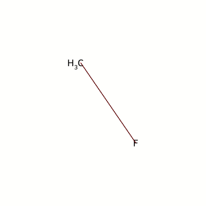 CC#CC#CC#CC#CC#CC#CC#CC#CC#CC#CC#CC#CC#CC#CC#CC#CC#CC#CC#CC#CC#CC#CC#CC#CC#CC#CC#CC#CC#CC#CC#CC#CC#CC#CC#CC#CC#CC#CC#CC#CC#CC#CC#CC#CC#CC#CC#CC#CC#CC#CC#CC#CC#CC#CC#CC#CC#CC#CC#CC#CC#CC#CC#CC#CC#CF